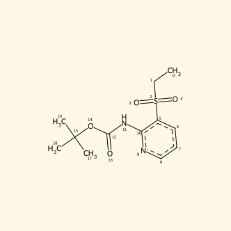 CCS(=O)(=O)c1cccnc1NC(=O)OC(C)(C)C